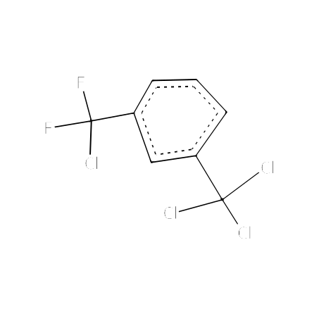 FC(F)(Cl)c1cccc(C(Cl)(Cl)Cl)c1